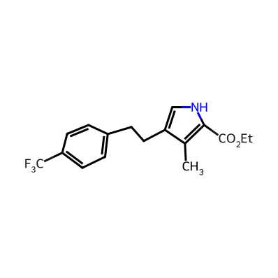 CCOC(=O)c1[nH]cc(CCc2ccc(C(F)(F)F)cc2)c1C